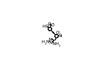 COC(=O)c1cc(C#Cc2cc(Cc3cnc(N)nc3N)cc(OC)c2OC)ccc1O